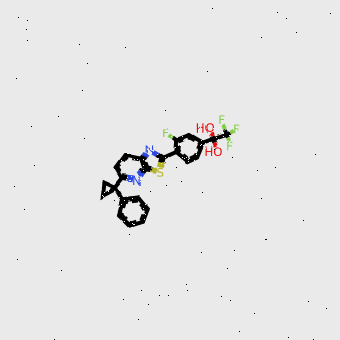 OC(O)(c1ccc(-c2nc3ccc(C4(c5ccccc5)CC4)nc3s2)c(F)c1)C(F)(F)F